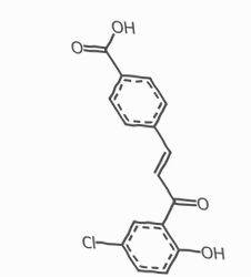 O=C(O)c1ccc(C=CC(=O)c2cc(Cl)ccc2O)cc1